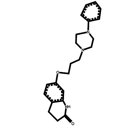 O=C1CCc2ccc(OCCCN3CCN(c4ccccc4)CC3)cc2N1